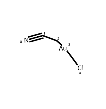 N#C[CH2][Au][Cl]